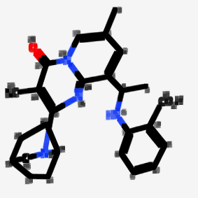 Cc1cc(C(C)Nc2ccccc2C(=O)O)c2nc(N3CC4CCC3CC4)c(C#N)c(=O)n2c1